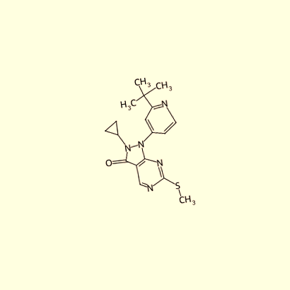 CSc1ncc2c(=O)n(C3CC3)n(-c3ccnc(C(C)(C)C)c3)c2n1